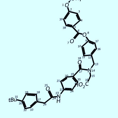 CCCCCCCOc1ccc(C(=O)Oc2ccc(CN(CC(=O)O)C(=O)c3ccc(NC(=O)Cc4ccc(C(C)(C)C)cc4)cc3)cc2)cc1